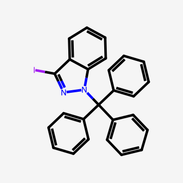 Ic1nn(C(c2ccccc2)(c2ccccc2)c2ccccc2)c2ccccc12